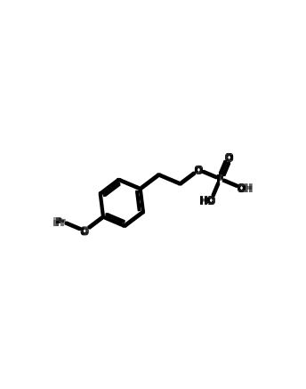 CC(C)Oc1ccc(CCOP(=O)(O)O)cc1